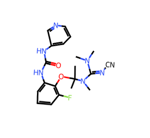 CN(C)/C(=N\C#N)N(C)C(C)(C)Oc1c(F)cccc1NC(=O)Nc1cccnc1